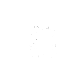 O=C1NC2CCC2Oc2ncc(F)cc2[C@H]2CCCN2c2n[nH]c3ncc1cc23